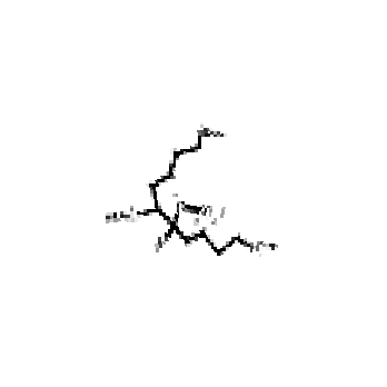 CCCCCCCCCCCCCCC(CCCCCCCCCC)C(F)(CCCCCCCCCCCCCC)OS(=O)(=O)O